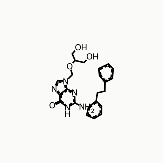 Nc1nc2c(ncn2COC(CO)CO)c(=O)[nH]1.c1ccc(CCc2ccccc2)cc1